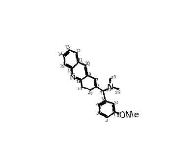 COc1cccc(C(C2=Cc3cc4ccccc4nc3CC2)N(C)C)c1